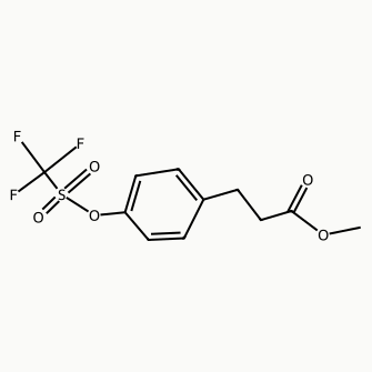 COC(=O)CCc1ccc(OS(=O)(=O)C(F)(F)F)cc1